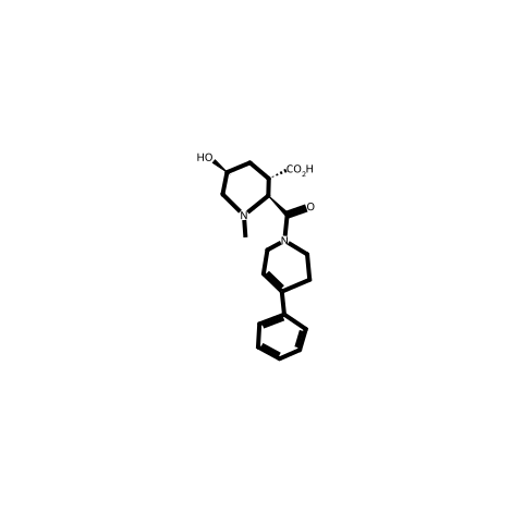 CN1C[C@@H](O)C[C@H](C(=O)O)[C@H]1C(=O)N1CC=C(c2ccccc2)CC1